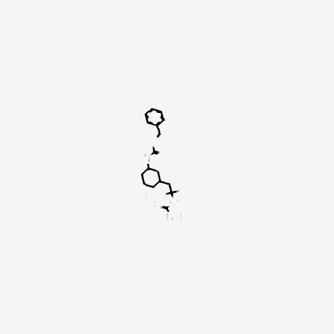 CC(C)(CC1CCCC(NC(=O)OCc2ccccc2)C1)OC(N)=O